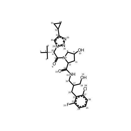 CC(C)(C)[C@@H](C(=O)N1CC(O)CC1C(=O)NCC(CO)Cc1c(F)cccc1Cl)n1cc(C2CC2)nn1